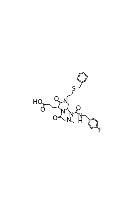 CN1CC(=O)N2C(CN(CCSCc3ccccc3)C(=O)[C@@H]2CCC(=O)O)N1C(=O)NCc1ccc(F)cc1